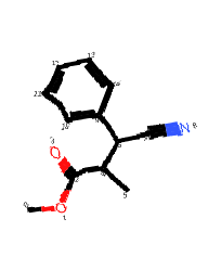 COC(=O)C(C)C(C#N)c1ccccc1